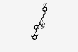 COc1ccc(CCCCOC=C(C(=O)O)c2cccc(CSc3c(C)cccc3C)n2)cc1